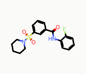 O=C(Nc1ccccc1F)c1cccc(S(=O)(=O)N2CCCCC2)c1